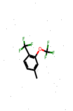 Cc1ccc(C(F)(F)F)c(OC(F)(F)F)c1